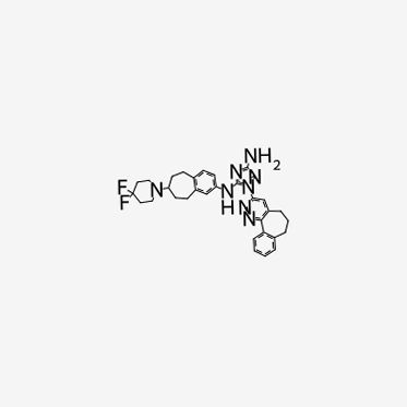 Nc1nc(Nc2ccc3c(c2)CCC(N2CCC(F)(F)CC2)CC3)n(-c2cc3c(nn2)-c2ccccc2CCC3)n1